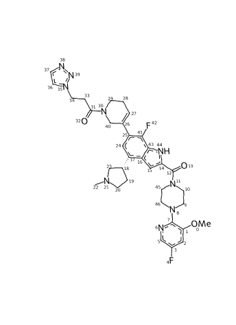 COc1cc(F)cnc1N1CCN(C(=O)c2cc3c([C@@H]4CCN(C)C4)cc(C4=CCCN(C(=O)CCn5ccnn5)C4)c(F)c3[nH]2)CC1